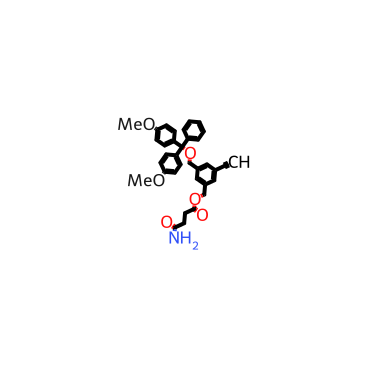 C#Cc1cc(COC(=O)CCC(N)=O)cc(COC(c2ccccc2)(c2ccc(OC)cc2)c2ccc(OC)cc2)c1